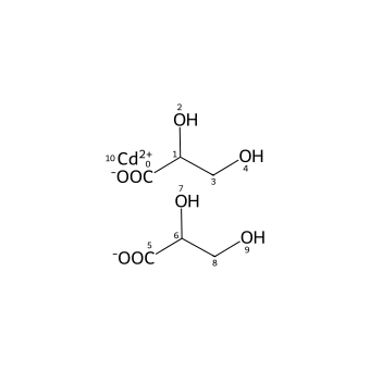 O=C([O-])C(O)CO.O=C([O-])C(O)CO.[Cd+2]